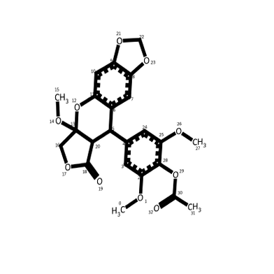 COc1cc(C2c3cc4c(cc3OC3(OC)COC(=O)C23)OCO4)cc(OC)c1OC(C)=O